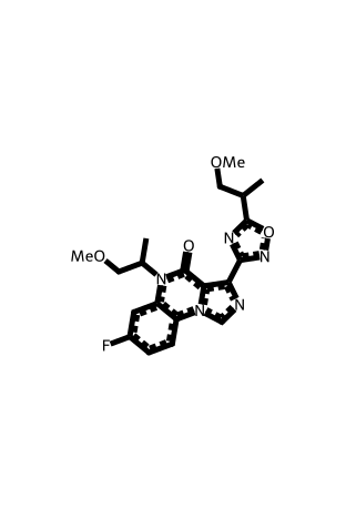 COCC(C)c1nc(-c2ncn3c2c(=O)n(C(C)COC)c2cc(F)ccc23)no1